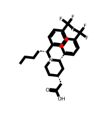 CCCC[C@H](c1ccc(C(F)(F)F)cc1)N1CC[C@@H](CC(=O)O)C[C@H]1c1ccc(C(F)(F)F)cc1